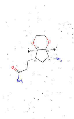 NC(=O)CC[C@H]1C[C@@H](N)[C@@H]2OCCO[C@H]12